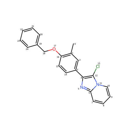 Cc1cc(-c2nc3ccccn3c2Cl)ccc1OCc1ccccc1